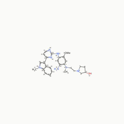 COc1cc(N(C)CCN2CCC(O)C2)c(N)cc1Nc1nccc(-c2cn(C)c3ccccc23)n1